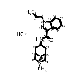 C=CCn1nc(C(=O)NC2CC3CN(C)CC(C2)N3C)c2ccccc21.Cl